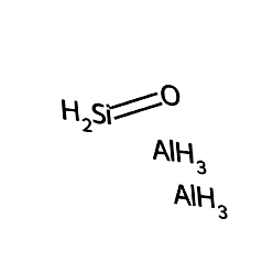 O=[SiH2].[AlH3].[AlH3]